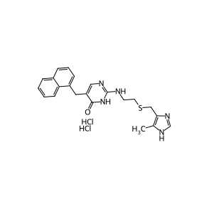 Cc1[nH]cnc1CSCCNc1ncc(Cc2cccc3ccccc23)c(=O)[nH]1.Cl.Cl